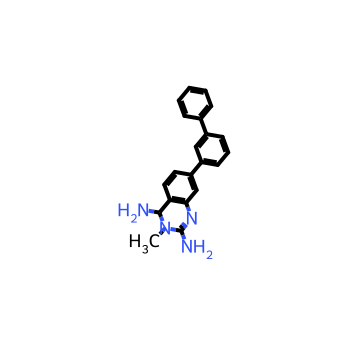 CN1C(N)=Nc2cc(-c3cccc(-c4ccccc4)c3)ccc2C1N